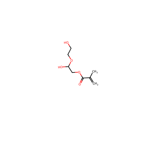 C=C(C)C(=O)OCC(O)OCCO